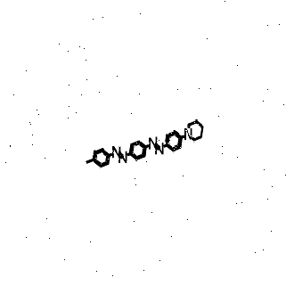 Cc1ccc(N=Nc2ccc(N=Nc3ccc(N4CCCCC4)cc3)cc2)cc1